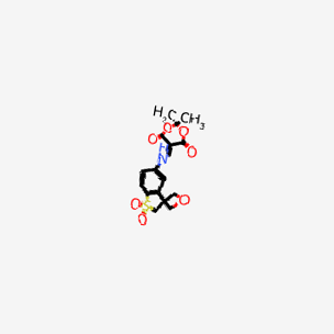 CC1(C)OC(=O)C(=CNc2ccc3c(c2)C2(COC2)CS3(=O)=O)C(=O)O1